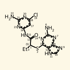 CC[C@H](Sc1nc(N)nc2nc[nH]c12)C(=O)Nc1cc(Cl)nc(N)n1